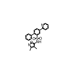 Cc1noc(NS(=O)(=O)c2cc(-c3ccccn3)ccc2-c2ccccc2)c1C